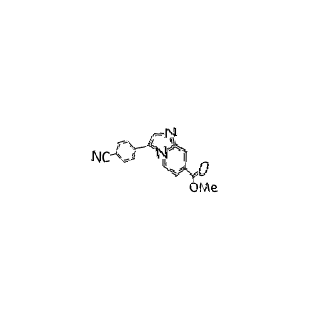 COC(=O)c1ccn2c(-c3ccc(C#N)cc3)cnc2c1